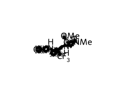 CNC(=O)c1ccc(NCC#Cc2cc3c(N[C@H]4CC[C@H](N5CCOCC5)CC4)cccc3n2CC(F)(F)F)c(OCCOC)c1